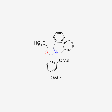 COc1ccc(C2O[C@@H](C(=O)O)[C@H](c3ccccc3)N2Cc2ccccc2)c(OC)c1.[K]